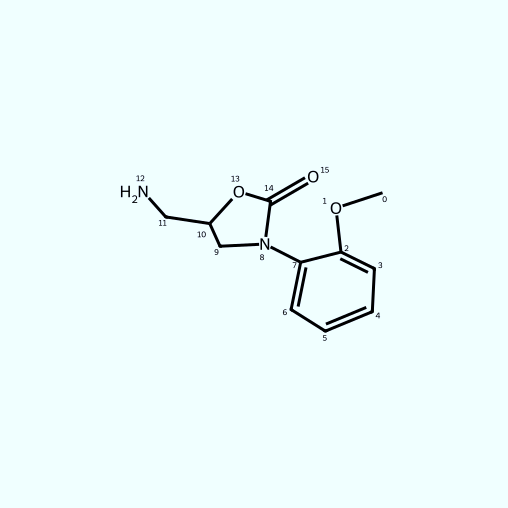 COc1ccccc1N1CC(CN)OC1=O